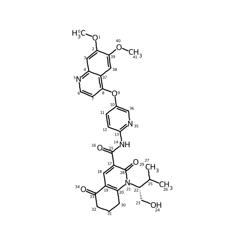 COc1cc2nccc(Oc3ccc(NC(=O)c4cc5c(n([C@@H](CO)C(C)C)c4=O)CCCC5=O)nc3)c2cc1OC